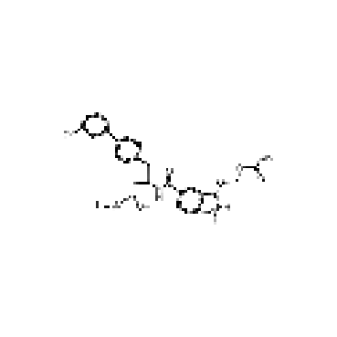 CCCC(=O)OCON1NNc2ccc(C(=O)N[C@H](Cc3ccc(-c4cccc(Cl)c4)cc3)C[C@@H](O)C(=O)O)cc21